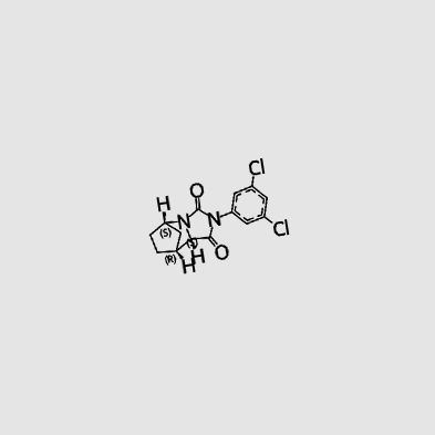 O=C1[C@@H]2[C@@H]3CC[C@@H](C3)N2C(=O)N1c1cc(Cl)cc(Cl)c1